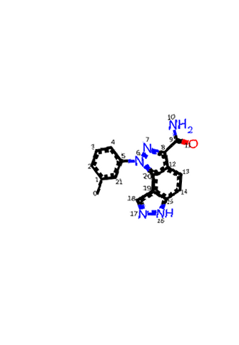 Cc1cccc(-n2nc(C(N)=O)c3ccc4[nH]ncc4c32)c1